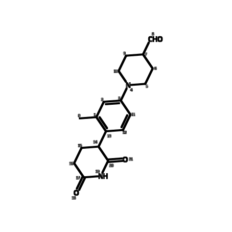 Cc1cc(N2CCC(C=O)CC2)ccc1C1CCC(=O)NC1=O